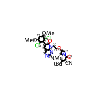 CNc1ncc2cc(-c3c(Cl)c(OC)cc(OC)c3Cl)c(=O)n(CCOC3CN(C(=O)C(C#N)=CC(C)(C)C)C3)c2n1